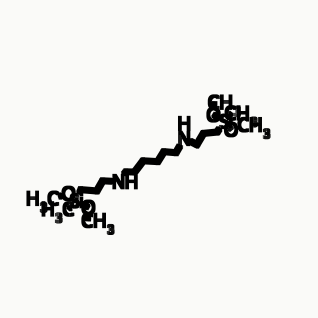 CO[Si](C)(CCCNCCCCCCNCCC[Si](C)(OC)OC)OC